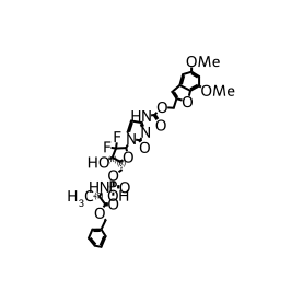 COc1cc(OC)c2oc(COC(=O)Nc3ccn(C4O[C@H](COP(=O)(O)N[C@@H](C)C(=O)OCc5ccccc5)[C@@H](O)C4(F)F)c(=O)n3)cc2c1